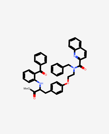 COC(=O)C(Cc1ccc(OCCN(Cc2ccccc2)C(=O)c2ccc3ccccc3n2)cc1)Nc1ccccc1C(=O)c1ccccc1